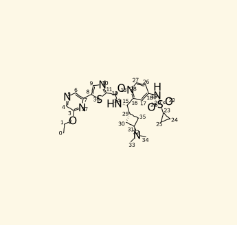 CCOc1cncc(-c2cnc(C(=O)N[C@H](c3cc(NS(=O)(=O)C4CC4)ccn3)[C@H]3C[C@H](N(C)C)C3)s2)n1